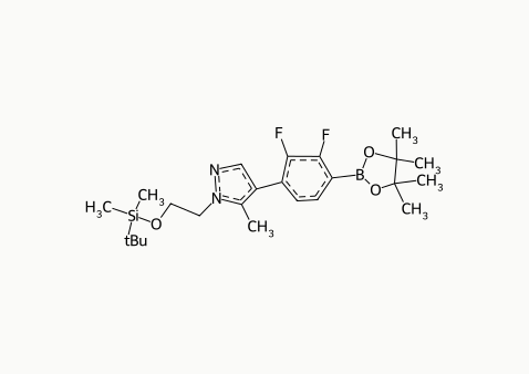 Cc1c(-c2ccc(B3OC(C)(C)C(C)(C)O3)c(F)c2F)cnn1CCO[Si](C)(C)C(C)(C)C